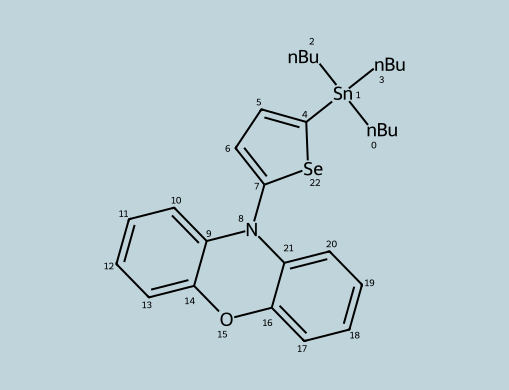 CCC[CH2][Sn]([CH2]CCC)([CH2]CCC)[c]1ccc(N2c3ccccc3Oc3ccccc32)[se]1